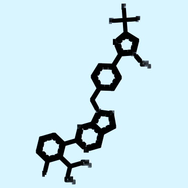 CC(C)c1c(F)cccc1-c1ncc2cnn(Cc3ccc(-c4nc(C(F)(F)F)cn4C)cc3)c2n1